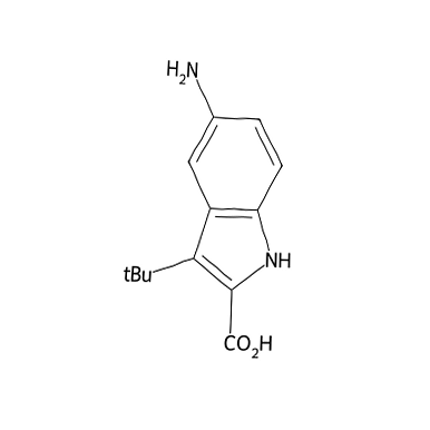 CC(C)(C)c1c(C(=O)O)[nH]c2ccc(N)cc12